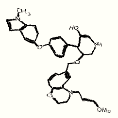 COCCCN1CCOc2ccc(COC3CNCC(O)C3c3ccc(Oc4ccc5c(ccn5C)c4)cc3)cc21